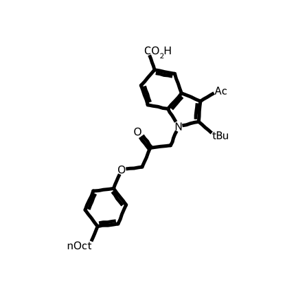 CCCCCCCCc1ccc(OCC(=O)Cn2c(C(C)(C)C)c(C(C)=O)c3cc(C(=O)O)ccc32)cc1